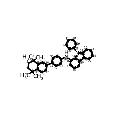 CC1(C)CCC(C)(C)c2cc(-c3ccc(Nc4cccc5c6ccccc6n(-c6ccccc6)c45)cc3)ccc21